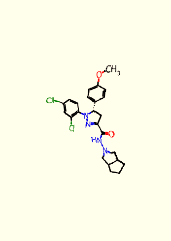 COc1ccc([C@@H]2CC(C(=O)NN3CC4CCCC4C3)=NN2c2ccc(Cl)cc2Cl)cc1